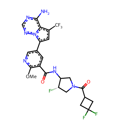 COc1ncc(-c2cc(C(F)(F)F)c3c(N)ncnn23)cc1C(=O)NC1CN(C(=O)C2CC(F)(F)C2)C[C@@H]1F